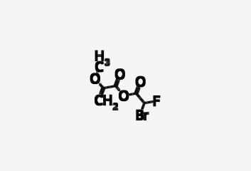 C=C(OC)C(=O)OC(=O)C(F)Br